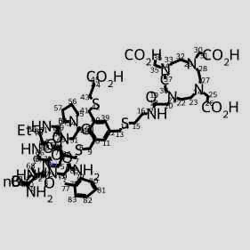 CCCCNC(=O)/N=C/C(CSCc1cc(CSCCNC(=O)CN2CCN(CC(=O)O)CCN(CC(=O)O)CCN(CC(=O)O)CC2)cc(CSCCC(=O)O)c1)C(=O)N(C)CC(=O)N1CCC[C@H]1C(=O)N[C@@H](CC)C(=O)N[C@@H](CCC(N)=O)C(=O)N[C@@H](Cc1ccccc1)C(N)=O